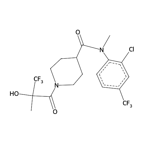 CN(C(=O)C1CCN(C(=O)C(C)(O)C(F)(F)F)CC1)c1ccc(C(F)(F)F)cc1Cl